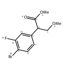 COCC(C(=O)OC)c1ccc(Br)c(F)c1